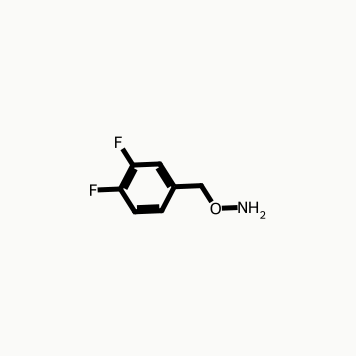 NOCc1ccc(F)c(F)c1